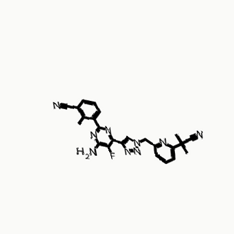 Cc1c(C#N)cccc1-c1nc(N)c(F)c(-c2cn(Cc3cccc(C(C)(C)C#N)n3)nn2)n1